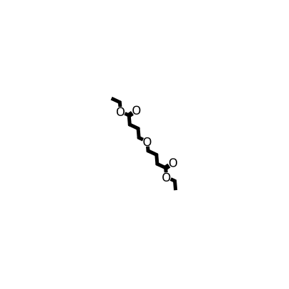 CCOC(=O)CCCOCCCC(=O)OCC